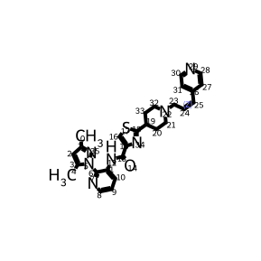 Cc1cc(C)n(-c2ncccc2NC(=O)c2csc(C3CCN(C/C=C\c4ccncc4)CC3)n2)n1